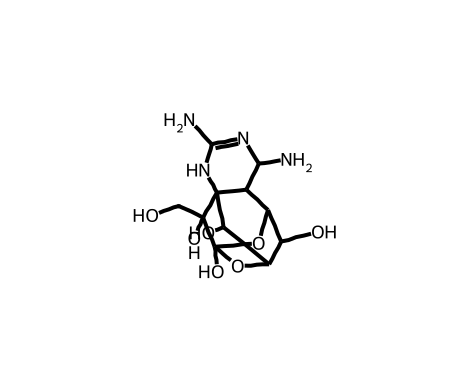 NC1=NC(N)C2C3OC4(O)OC(C3O)C(O)C2(N1)C4(O)CO